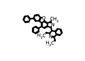 C=CC1=NC(C=C)C(C2N=C(C)c3c2cc(-c2ccccc2)c2c3oc3ccc(-c4ccccc4)cc32)c2ccccc21